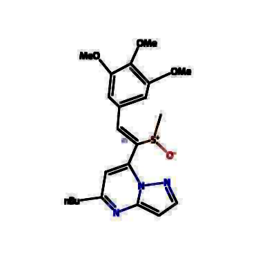 CCCCc1cc(/C(=C/c2cc(OC)c(OC)c(OC)c2)[S+](C)[O-])n2nccc2n1